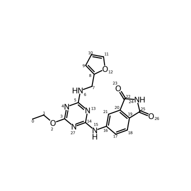 CCOc1nc(NCc2ccco2)nc(Nc2ccc3c(c2)C(=O)NC3=O)n1